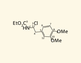 CCOC(=O)NC(Cl)Cc1ccc(OC)c(OC)c1